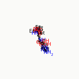 CCOP(=O)(OCC)C(NC(=O)CCCNC(=O)[C@H]1O[C@@H](n2cnc3c(N)ncnc32)[C@H](O)[C@@H]1O)P(=O)(OCC)OCC